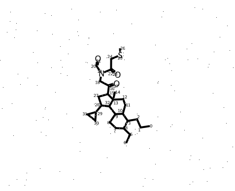 CCCC1C(CC)CCC2C1CCC1(C)C(C(=O)CN(C=O)C(=O)CSC)CC(C3CC3)C21